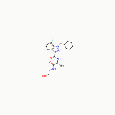 CC(C)(C)C(NC(=O)c1nn(CC2CCCCC2)c2c(F)cccc12)C(=O)NCCO